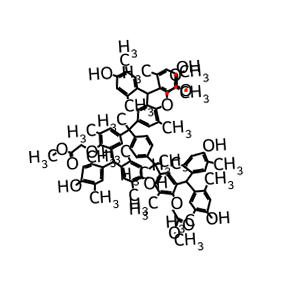 COC(=O)COc1c(C)cc(C(C)(C)c2ccc(C(C)(c3cc(C)c(OCC(=O)OC)c(C(c4cc(C)c(O)cc4C)c4cc(C)c(O)cc4C)c3)c3cc(C)c(OCC(=O)OC)c(C(c4cc(C)c(O)cc4C)c4cc(C)c(O)cc4C)c3)cc2)cc1C(c1cc(C)c(O)cc1C)c1cc(C)c(O)cc1C